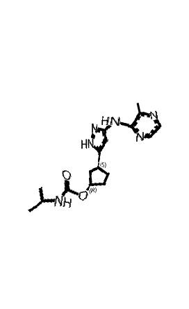 Cc1nccnc1Nc1cc([C@H]2CC[C@@H](OC(=O)NC(C)C)C2)[nH]n1